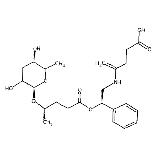 C=C(CCC(=O)O)NC[C@H](OC(=O)CC[C@@H](C)O[C@@H]1OC(C)[C@H](O)CC1O)c1ccccc1